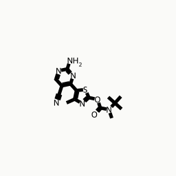 Cc1nc(OC(=O)N(C)C(C)(C)C)sc1-c1nc(N)ncc1C#N